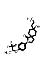 CCCC1(O)CCC2(CCN(c3ccc(O[C@H](C)C(F)(F)F)cc3)C2=O)CC1